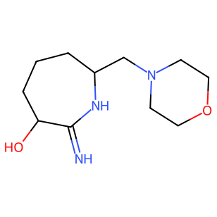 N=C1NC(CN2CCOCC2)CCCC1O